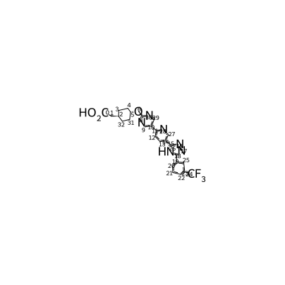 O=C(O)C[C@H]1CC[C@H](Oc2ncc(-c3ccc(-c4nnc(-c5cccc(C(F)(F)F)c5)[nH]4)cn3)cn2)CC1